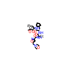 CCC(NC(=O)c1cc(CN2CCOCC2)on1)C(=O)N[C@@H](Cc1ccccc1)C(=O)NC(CC(C)C)C(=O)[C@@]1(C)CO1